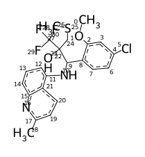 COc1cc(Cl)ccc1C(Nc1cccc2nc(C)ccc12)C(O)(CSC)C(F)(F)F